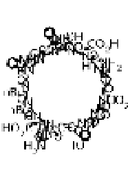 CCCC[C@H]1C(=O)N(C)[C@@H](CCCC)C(=O)N[C@@H](CCC(=O)O)C(=O)N[C@H](C(=O)NCC(N)=O)CSCC(=O)N[C@@H](Cc2ccc(O)cc2)C(=O)N2CCOC[C@H]2C(=O)N[C@@H](CC(=O)O)C(=O)N2CCC[C@H]2C(=O)N[C@@H](CN)C(=O)N[C@@H](CCC(=O)O)C(=O)N2C[C@H](O)C[C@H]2C(=O)N[C@@H](Cc2c[nH]c3ccccc23)C(=O)N[C@@H](CO)C(=O)N[C@@H](Cc2c[nH]c3ccccc23)C(=O)N1C